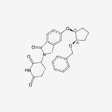 O=C1CCC(N2Cc3cc(O[C@H]4CCC[C@H]4OCc4ccccc4)ccc3C2=O)C(=O)N1